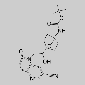 CC(C)(C)OC(=O)NC12CCC(C(O)Cn3c(=O)ccc4ncc(C#N)cc43)(CC1)OC2